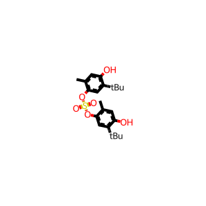 Cc1cc(O)c(C(C)(C)C)cc1OS(=O)(=O)Oc1cc(C(C)(C)C)c(O)cc1C